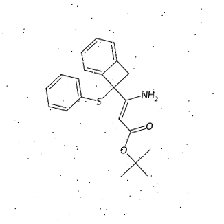 CC(C)(C)OC(=O)C=C(N)C1(Sc2ccccc2)Cc2ccccc21